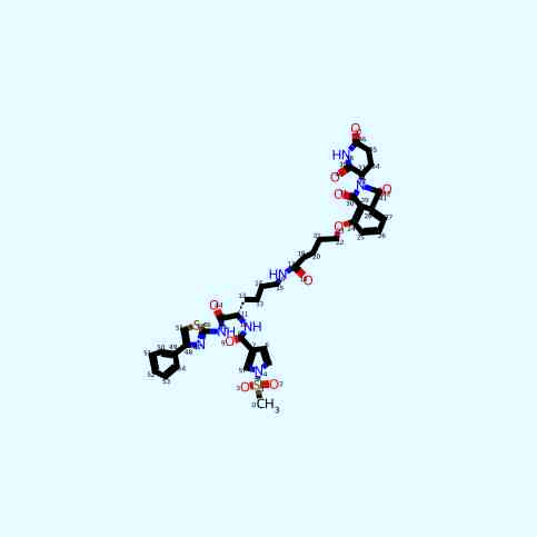 CS(=O)(=O)n1ccc(C(=O)N[C@@H](CCCCNC(=O)CCCCOc2cccc3c2C(=O)N(C2CCC(=O)NC2=O)C3=O)C(=O)Nc2nc(-c3ccccc3)cs2)c1